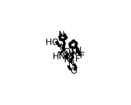 C[C@H](Nc1nc(N2CCOCC2)cc(-n2c(C(F)F)nc3ccccc32)n1)C(=O)N(CCO)Cc1ccncc1